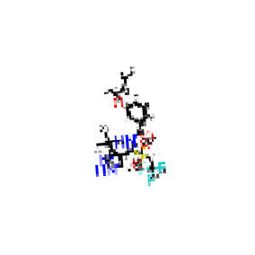 CCCC(C)Oc1cccc(C(=O)NC(c2c[nH]nc2C(C)(C)C)S(=O)(=O)CC(F)(F)F)c1